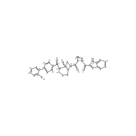 CC[C@H](C)[C@H](NC(=O)c1cc2ccccc2[nH]1)C(=O)N1C[C@@H]2C1CCCN2C(=O)c1ncc(-c2ccccc2F)cn1